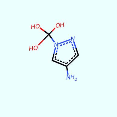 Nc1cnn(C(O)(O)O)c1